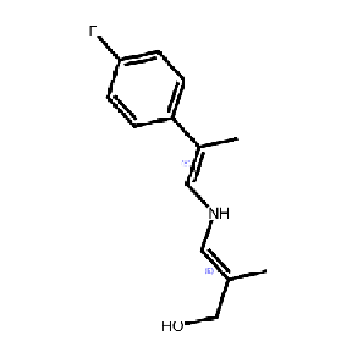 C/C(=C\N/C=C(\C)c1ccc(F)cc1)CO